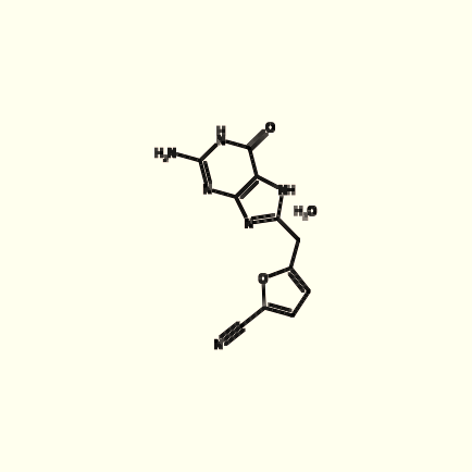 N#Cc1ccc(Cc2nc3nc(N)[nH]c(=O)c3[nH]2)o1.O